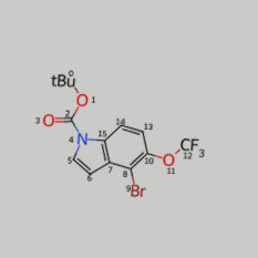 CC(C)(C)OC(=O)n1ccc2c(Br)c(OC(F)(F)F)ccc21